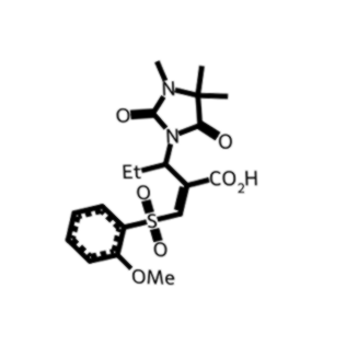 CCC(C(=CS(=O)(=O)c1ccccc1OC)C(=O)O)N1C(=O)N(C)C(C)(C)C1=O